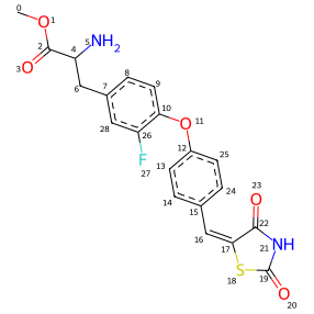 COC(=O)C(N)Cc1ccc(Oc2ccc(/C=C3/SC(=O)NC3=O)cc2)c(F)c1